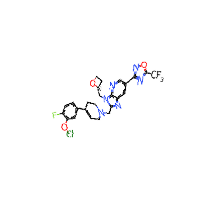 Fc1ccc(C2=CCN(Cc3nc4cc(-c5noc(C(F)(F)F)n5)cnc4n3C[C@@H]3CCO3)CC2)cc1OCl